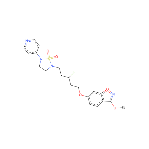 CCOc1noc2cc(OCCC(F)CCN3CCN(c4ccncc4)S3(=O)=O)ccc12